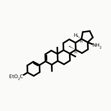 CCOC(=O)C1CC=C(C2=CCC3(C)C(CCC4(C)C3CCC3[C@H]5CCCC5(N)CC[C@]34C)C2C)CC1